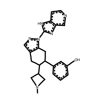 CN1CC(C2Cc3cnn(-c4nc5cnccc5[nH]4)c3CC2c2cccc(O)c2)C1